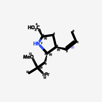 C/C=C\[C@@H]1C[C@H](C(=O)O)N[C@H]1CC(C)(CCC)OC